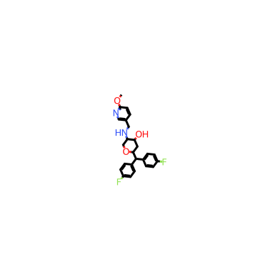 COc1ccc(CNC2COC(C(c3ccc(F)cc3)c3ccc(F)cc3)CC2O)cn1